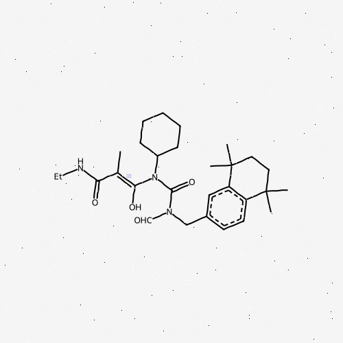 CCNC(=O)/C(C)=C(\O)N(C(=O)N(C=O)Cc1ccc2c(c1)C(C)(C)CCC2(C)C)C1CCCCC1